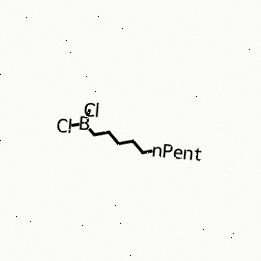 CCCCCCCCCCB(Cl)Cl